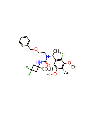 CCOc1cc(C(C)N(CCOCc2ccccc2)C(=O)NC2(C(=O)O)CC(F)(F)C2)c(Cl)c(OCC)c1C(C)=O